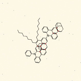 CCCCCCCCc1c(CCCCCCCC)c2cc(N(c3ccccc3)c3ccccc3-c3ccc4c(c3)C3CC5CC(CC4C5)C3)ccc2c2ccc(N(c3ccccc3)c3ccccc3-c3ccc4c(c3)C3CC5CC(CC4C5)C3)cc12